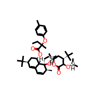 CCC(C)(Oc1ccc(C)cc1)C(=O)O[C@H]1C[C@H](C(C)(C)C)C=C2C=C[C@H](C)[C@](CC[C@@H]3C[C@H](C(C)(C)C)C(O[SiH](C)C)C(=O)O3)(O[SiH](C)C)[C@H]21